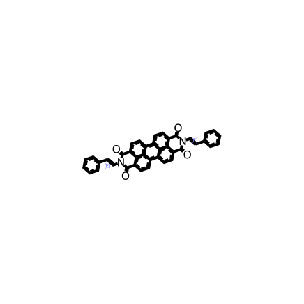 O=C1c2ccc3c4ccc5c6c(ccc(c7ccc(c2c37)C(=O)N1/C=C/c1ccccc1)c64)C(=O)N(/C=C/c1ccccc1)C5=O